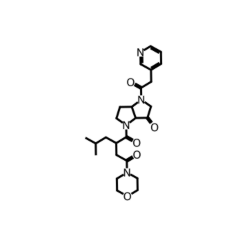 CC(C)CC(CC(=O)N1CCOCC1)C(=O)N1CCC2C1C(=O)CN2C(=O)Cc1cccnc1